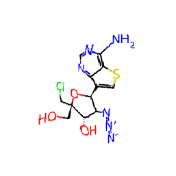 [N-]=[N+]=NC1[C@H](c2csc3c(N)ncnc23)O[C@@](CO)(CCl)[C@H]1O